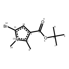 Cc1c(C(=O)OC(C)(C)C)cc(Br)n1C